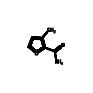 Cc1ccoc1C(N)=O